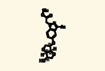 CC(=O)c1nn(CC(=O)OC(C)(C)C)c2ccc(O[C@@H]3CO[C@H]4[C@@H]3OC[C@H]4O)cc12